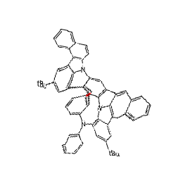 CC(C)(C)c1cc(N(c2ccccc2)c2ccccc2)c2c(c1)c1c3ccccc3cc3c4cc5c(cc4n2c31)c1cc(C(C)(C)C)cc2c3c4ccccc4ccc3n5c12